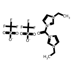 CCn1cc[n+](C(=O)[n+]2ccn(CC)c2)c1.O=S(=O)([O-])C(F)(F)F.O=S(=O)([O-])C(F)(F)F